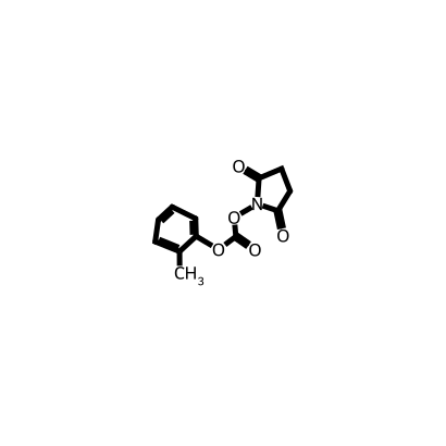 Cc1ccccc1OC(=O)ON1C(=O)CCC1=O